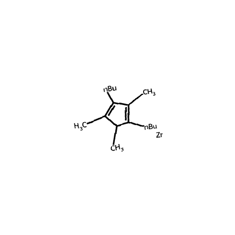 CCCCC1=C(C)C(CCCC)=C(C)[C]1C.[Zr]